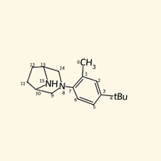 Cc1cc(C(C)(C)C)ccc1N1CC2CCC(C1)N2